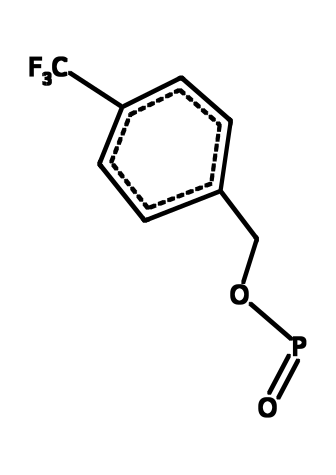 O=POCc1ccc(C(F)(F)F)cc1